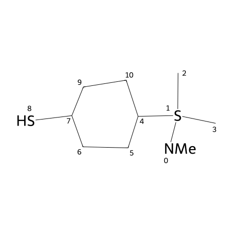 CNS(C)(C)C1CCC(S)CC1